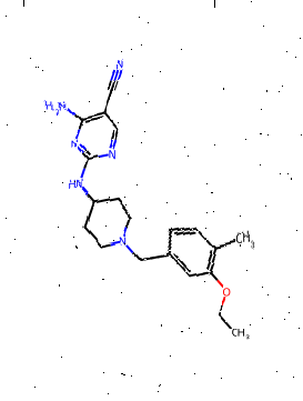 CCOc1cc(CN2CCC(Nc3ncc(C#N)c(N)n3)CC2)ccc1C